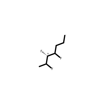 [CH2]CCC(F)[C@@H](F)C(C)F